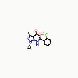 Cc1nn(C2CC2)c2[nH]c(-c3ccccc3Cl)c(O)c(=O)c12